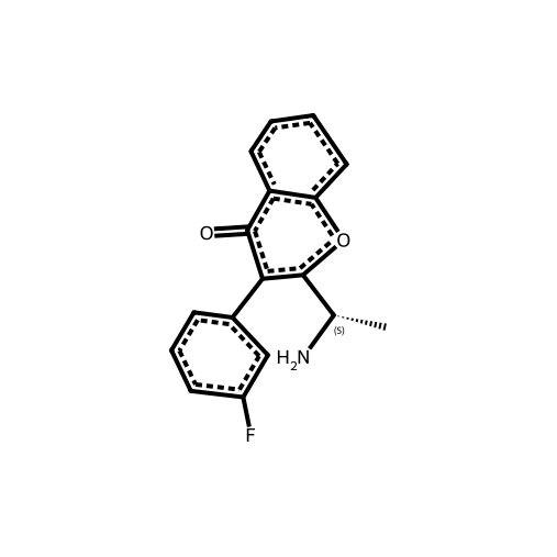 C[C@H](N)c1oc2ccccc2c(=O)c1-c1cccc(F)c1